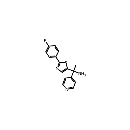 CC(N)(c1ccncc1)c1cnc(-c2ccc(F)cc2)s1